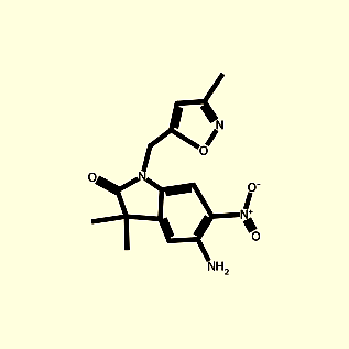 Cc1cc(CN2C(=O)C(C)(C)c3cc(N)c([N+](=O)[O-])cc32)on1